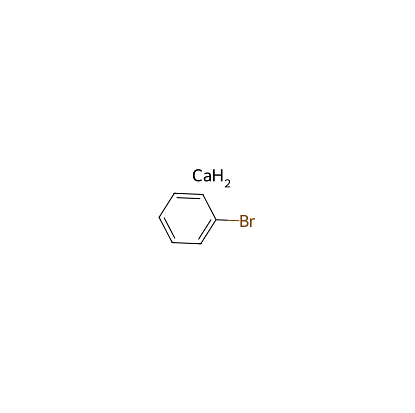 Brc1ccccc1.[CaH2]